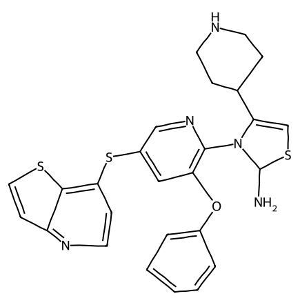 NC1SC=C(C2CCNCC2)N1c1ncc(Sc2ccnc3ccsc23)cc1Oc1ccccc1